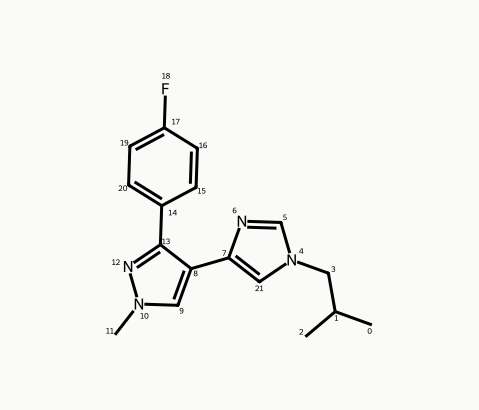 CC(C)Cn1cnc(-c2cn(C)nc2-c2ccc(F)cc2)c1